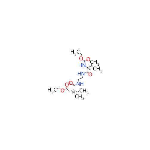 CCOC(=O)C[C@H](C(=O)NCCNC(=O)[C@@H](NC(=O)OCC)C(C)C)C(C)C